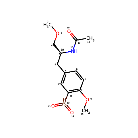 COC[C@H](Cc1ccc(OC)c([SH](=O)=O)c1)NC(C)=O